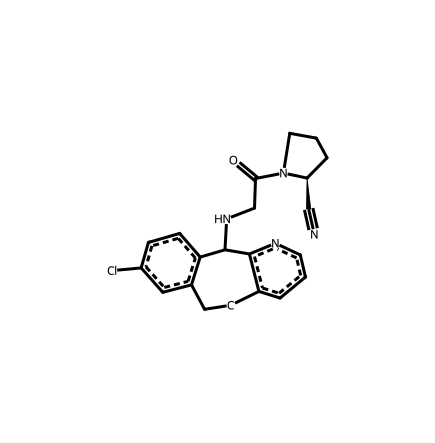 N#C[C@@H]1CCCN1C(=O)CNC1c2ccc(Cl)cc2CCc2cccnc21